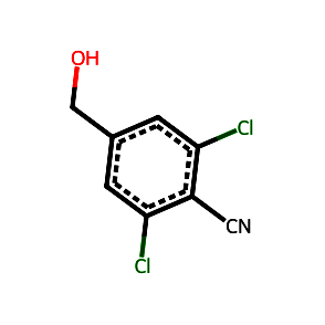 N#Cc1c(Cl)cc(CO)cc1Cl